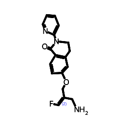 NC/C(=C/F)COc1ccc2c(c1)CCN(c1ccccn1)C2=O